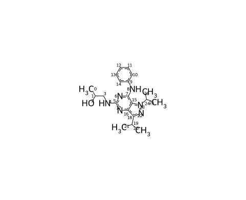 CC(O)CNc1nc(Nc2ccccc2)c2c(n1)c(C(C)C)nn2C(C)C